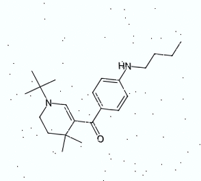 CCCCNc1ccc(C(=O)C2=CN(C(C)(C)C)CCC2(C)C)cc1